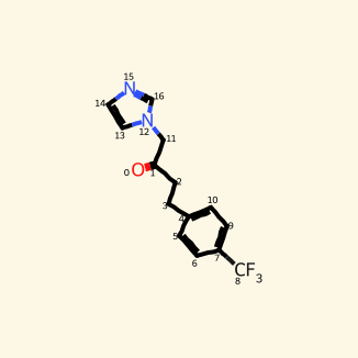 O=C(CCc1ccc(C(F)(F)F)cc1)Cn1ccnc1